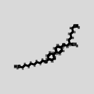 CCCCCCCCCOc1ccc(-c2ccc(OCC(C)CCCCCC)cc2)nc1